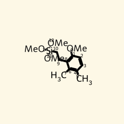 COc1ccc(C)c(C)c1CC[Si](OC)(OC)OC